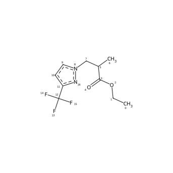 CCOC(=O)C(C)Cn1ccc(C(F)(F)F)n1